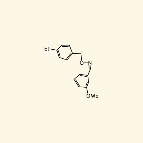 CCc1ccc(CO/N=[C]\c2cccc(OC)c2)cc1